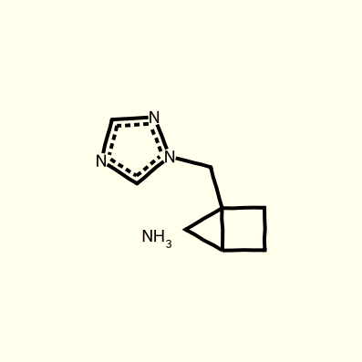 N.c1ncn(CC23CCC2C3)n1